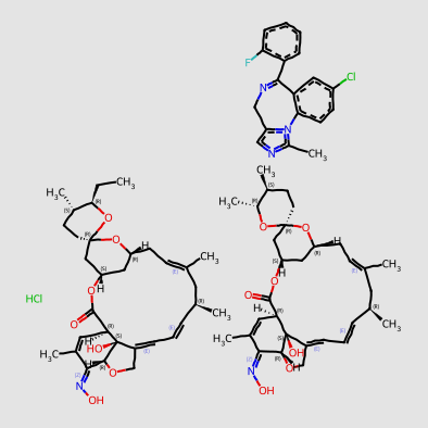 CC1=C[C@H]2C(=O)O[C@H]3C[C@@H](C/C=C(\C)C[C@@H](C)/C=C/C=C4\CO[C@H](/C1=N\O)[C@@]42O)O[C@@]1(CC[C@H](C)[C@@H](C)O1)C3.CC[C@H]1O[C@]2(CC[C@@H]1C)C[C@@H]1C[C@@H](C/C=C(\C)C[C@@H](C)/C=C/C=C3\CO[C@@H]4/C(=N\O)C(C)=C[C@@H](C(=O)O1)[C@]34O)O2.Cc1ncc2n1-c1ccc(Cl)cc1C(c1ccccc1F)=NC2.Cl